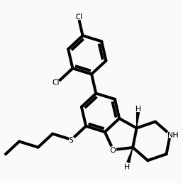 CCCCSc1cc(-c2ccc(Cl)cc2Cl)cc2c1O[C@H]1CCNC[C@@H]21